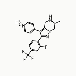 CC1Cn2nc(-c3ccc(C(F)(F)F)cc3F)c(-c3ccncc3)c2CN1.[Cl-].[H+]